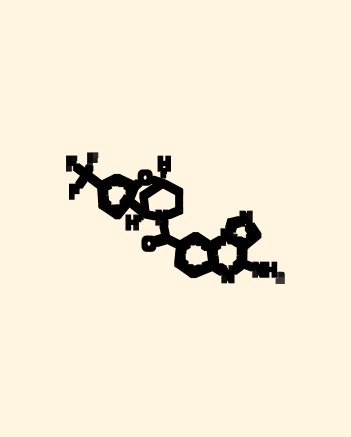 Nc1nc2ccc(C(=O)N3CC[C@H]4C[C@@H]3c3ccc(C(F)(F)F)cc3O4)cc2n2cncc12